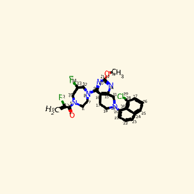 C=C(F)C(=O)N1CCN(c2nc(OC)nc3c2CCN(c2cccc4cccc(Cl)c24)C3)CC(F)C1